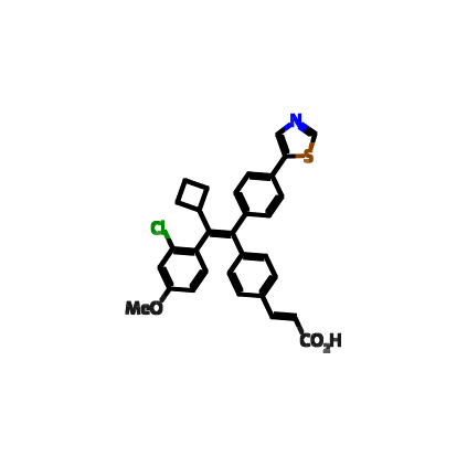 COc1ccc(/C(=C(\c2ccc(/C=C/C(=O)O)cc2)c2ccc(-c3cncs3)cc2)C2CCC2)c(Cl)c1